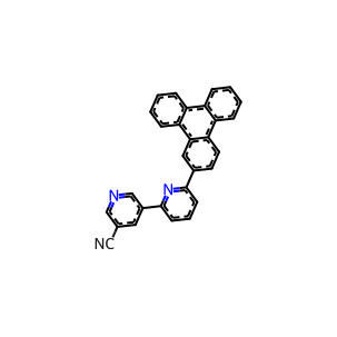 N#Cc1cncc(-c2cccc(-c3ccc4c5ccccc5c5ccccc5c4c3)n2)c1